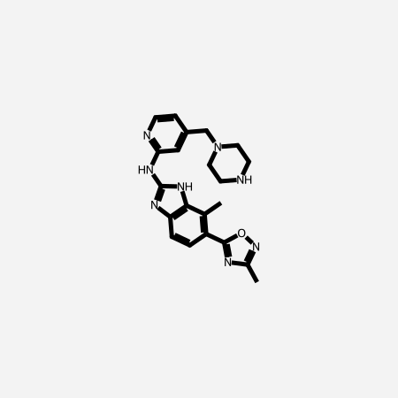 Cc1noc(-c2ccc3nc(Nc4cc(CN5CCNCC5)ccn4)[nH]c3c2C)n1